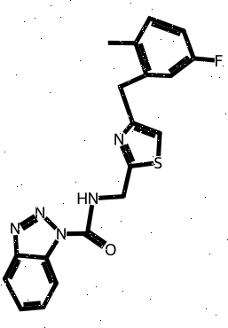 Cc1ccc(F)cc1Cc1csc(CNC(=O)n2nnc3ccccc32)n1